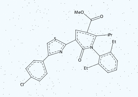 CCc1cccc(CC)c1-n1c(C(C)C)c(C(=O)OC)cc(-c2nc(-c3ccc(Cl)cc3)cs2)c1=O